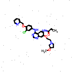 C=CC(=O)Nc1cc2c(Nc3ccc(OCc4ccccn4)c(Cl)c3)ncnc2cc1OCCN1CCC(OC)C1